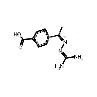 C/C(=N/N=C(N)N)c1ccc(C(=O)O)cc1